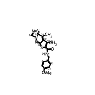 COc1ccc(CNC(=O)c2sc3nn4cnnc4c(C)c3c2N)cc1